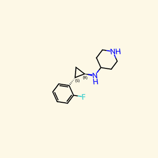 Fc1ccccc1[C@@H]1C[C@H]1NC1CCNCC1